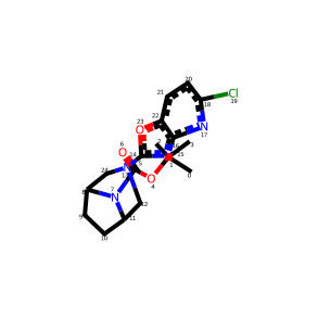 CC(C)(C)OC(=O)N1C2CCC1CN(c1nc3nc(Cl)ccc3o1)C2